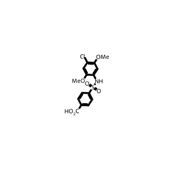 COc1cc(NS(=O)(=O)c2ccc(C(=O)O)cc2)c(OC)cc1Cl